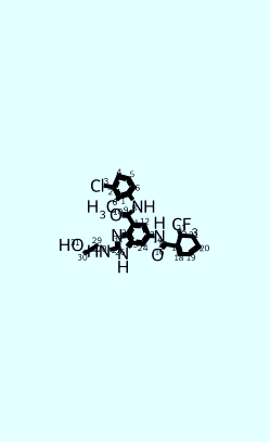 Cc1c(Cl)cccc1NC(=O)c1cc(NC(=O)C2=CC=CCC2C(F)(F)F)cc2[nH]c(NCCO)nc12